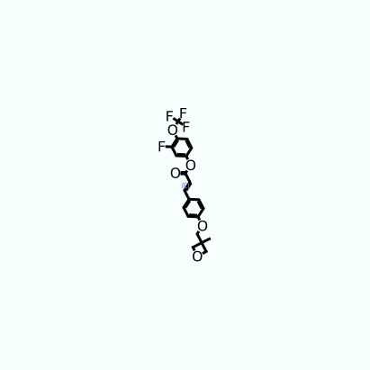 CC1(COc2ccc(/C=C/C(=O)Oc3ccc(OC(F)(F)F)c(F)c3)cc2)COC1